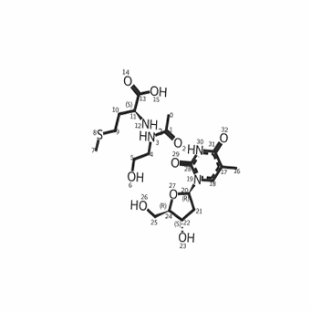 CC(=O)NCCO.CSCC[C@H](N)C(=O)O.Cc1cn([C@H]2C[C@H](O)[C@@H](CO)O2)c(=O)[nH]c1=O